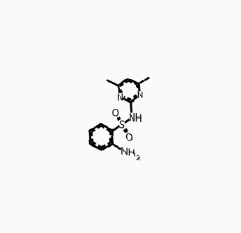 Cc1cc(C)nc(NS(=O)(=O)c2ccccc2N)n1